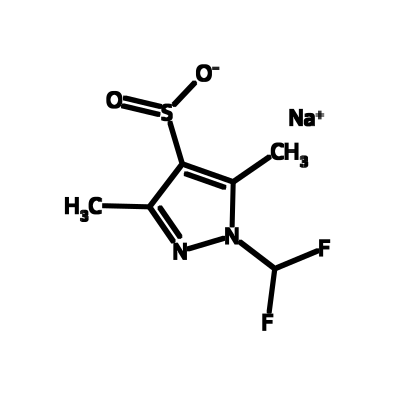 Cc1nn(C(F)F)c(C)c1S(=O)[O-].[Na+]